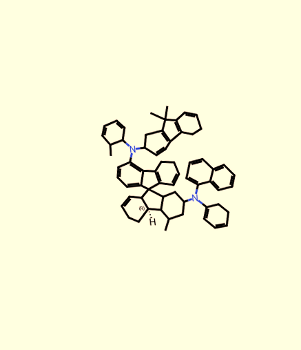 CC1C=CC=CC1N(c1cccc2c1C1=C(C=CCC1)C21C2CC(N(C3=CC=CCC3)c3cccc4ccccc34)CC(C)C2[C@H]2CCC=CC21)C1C=CC2=C(C1)C(C)(C)C1=C2CCC=C1